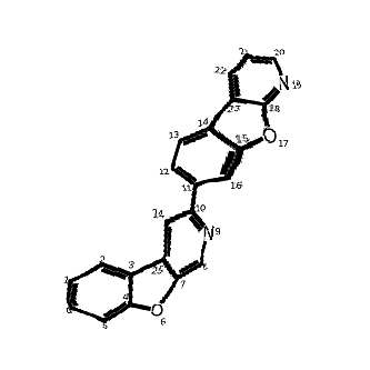 c1ccc2c(c1)oc1cnc(-c3ccc4c(c3)oc3ncccc34)cc12